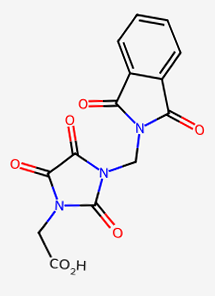 O=C(O)CN1C(=O)C(=O)N(CN2C(=O)c3ccccc3C2=O)C1=O